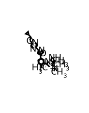 CN=[S@@]1C[C@@](C)(c2cc(-c3cc(-c4cnc(OCC5CC5)cn4)no3)ccc2F)N=C(N)C1(C)C